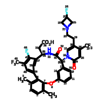 Cc1ccc(C)c2c1Oc1cccc(c1)[C@@H](n1cc(CCN3CC(F)C3)c(C(F)(F)F)cc1=O)C(=O)N[C@H](CC(=O)O)c1cc-2cc(C(F)(F)F)c1F